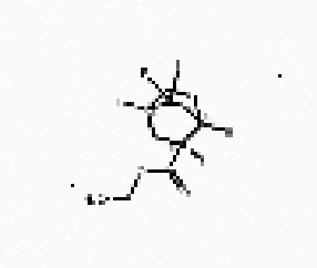 CCOC(=O)[C@@H]1C[C@@H]2CC[C@H]1CC2(F)F